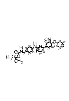 C=C(C)OC(=O)NCc1ccc(Nc2nccc(-c3ccc(OC4CCOCC4)c(C#N)c3)n2)cc1